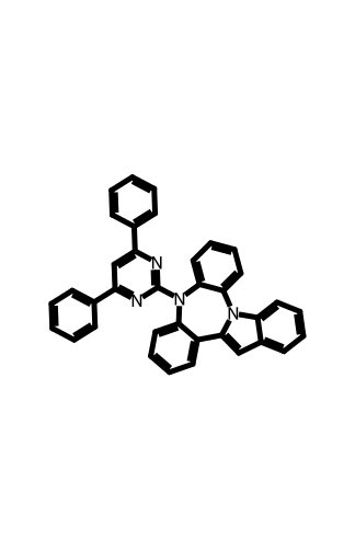 c1ccc(-c2cc(-c3ccccc3)nc(N3c4ccccc4-c4cc5ccccc5n4-c4ccccc43)n2)cc1